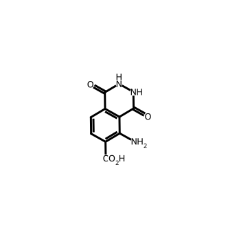 Nc1c(C(=O)O)ccc2c(=O)[nH][nH]c(=O)c12